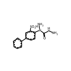 NNC(=O)N(N)c1ccc(-c2ccccc2)cc1S(=O)(=O)O